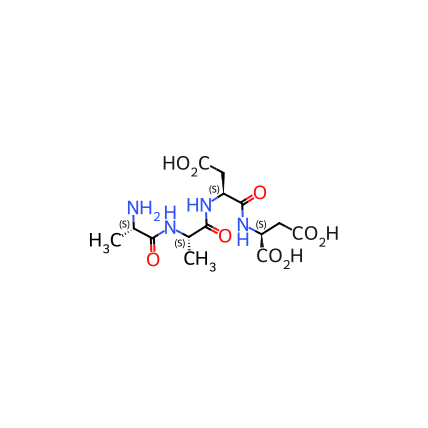 C[C@H](N)C(=O)N[C@@H](C)C(=O)N[C@@H](CC(=O)O)C(=O)N[C@@H](CC(=O)O)C(=O)O